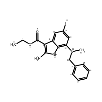 CCOC(=O)c1c(N)[nH]c2c(N(C)Cc3ccccc3)cc(F)cc12